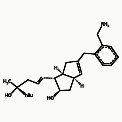 CCCC[C@](C)(O)C/C=C/[C@@H]1[C@H]2CC(Cc3ccccc3CN)=C[C@H]2C[C@H]1O